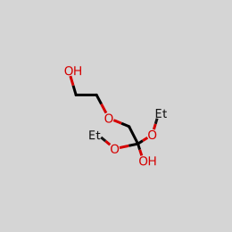 CCOC(O)(COCCO)OCC